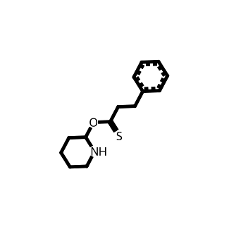 S=C(CCc1ccccc1)OC1CCCCN1